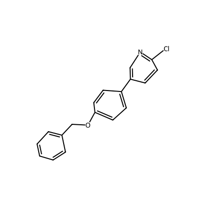 Clc1ccc(-c2ccc(OCc3ccccc3)cc2)cn1